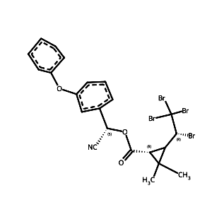 CC1(C)C([C@@H](Br)C(Br)(Br)Br)[C@H]1C(=O)O[C@H](C#N)c1cccc(Oc2ccccc2)c1